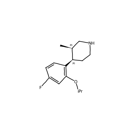 CC(C)Oc1cc(F)ccc1[C@@H]1CCNC[C@@H]1C